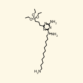 CCO[Si](CCCc1nc(N)nc(N(N)CCCCCCCCCCCCN)n1)(OCC)OCC